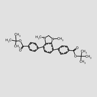 CN1CN(C)c2c(-c3ccc(C(=O)OC(C)(C)C)cc3)ccc(-c3ccc(C(=O)OC(C)(C)C)cc3)c21